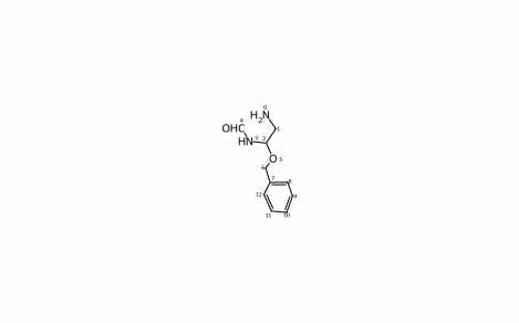 NCC(NC=O)OCc1ccccc1